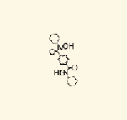 O=C(c1ccc(C(=O)N(O)C2CCCCC2)cc1)N(O)C1CCCCC1